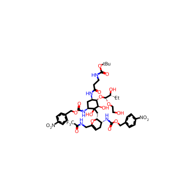 CC[C@@H](O)[C@H](OCCO)O[C@@H]1[C@@H](O)C(O)(C[C@H]2OC(CNC(=O)C(F)(F)F)=CC[C@H]2NC(=O)OCc2ccc([N+](=O)[O-])cc2)[C@@H](NC(=O)OCc2ccc([N+](=O)[O-])cc2)C[C@H]1NC(=O)CCNC(=O)OC(C)(C)C